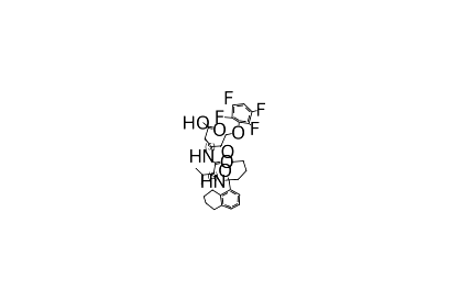 CC(C)[C@H](NC1(c2cccc3c2CCCC3)CCCCO1)C(=O)N[C@@H](CC(=O)O)C(=O)COc1c(F)c(F)cc(F)c1F